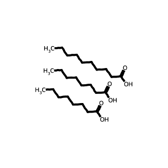 CCCCCCCC(=O)O.CCCCCCCC(=O)O.CCCCCCCCCC(=O)O